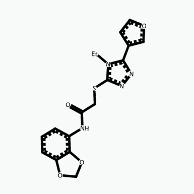 CCn1c(SCC(=O)Nc2cccc3c2OCO3)nnc1-c1ccoc1